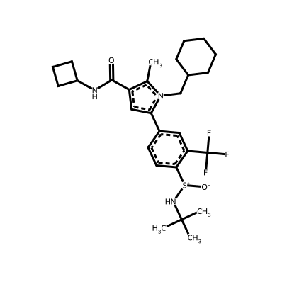 Cc1c(C(=O)NC2CCC2)cc(-c2ccc([S+]([O-])NC(C)(C)C)c(C(F)(F)F)c2)n1CC1CCCCC1